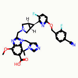 CCn1cncc1Cn1c(CN2C[C@@H]3[C@H](C2)[C@@H]3c2nc(OCc3ccc(C#N)cc3F)ccc2F)nc2c(OC)cc(C(=O)O)cc21